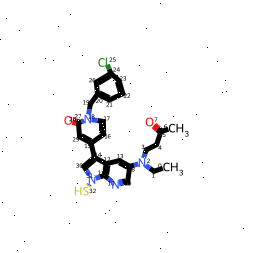 CCN(CCC(C)=O)c1cnc2c(c1)c(-c1ccn(Cc3cccc(Cl)c3)c(=O)c1)cn2S